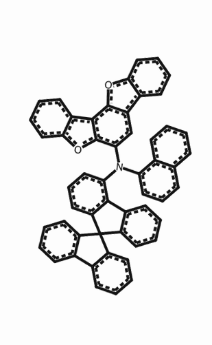 c1ccc2c(c1)-c1ccccc1C21c2ccccc2-c2c(N(c3cccc4ccccc34)c3cc4c5ccccc5oc4c4c3oc3ccccc34)cccc21